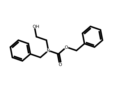 O=C(OCc1ccccc1)N(CCO)Cc1ccccc1